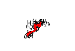 COc1cc2nc(C)nc(N[C@H](C)c3cc(C(=O)OC(C)(C)C)cc(C(F)(F)F)c3)c2cc1C1CCC(C(=O)N2CCC(CCOCC3CCN(C(=O)c4ccc(F)c(N5CCC(=O)NC5=O)c4)CC3)CC2)CC1